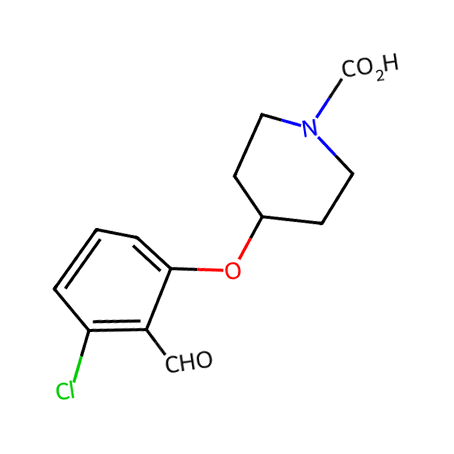 O=Cc1c(Cl)cccc1OC1CCN(C(=O)O)CC1